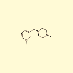 CN1C=CC=C(CN2CCN(C)CC2)C1